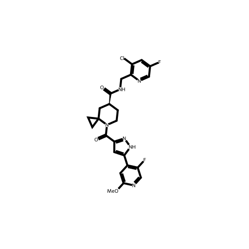 COc1cc(-c2cc(C(=O)N3CC[C@H](C(=O)NCc4ncc(F)cc4Cl)CC34CC4)n[nH]2)c(F)cn1